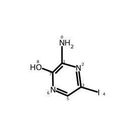 Nc1nc(I)cnc1O